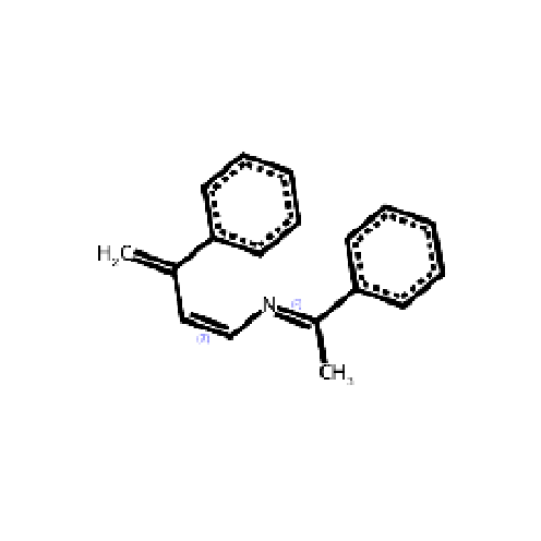 C=C(/C=C\N=C(/C)c1ccccc1)c1ccccc1